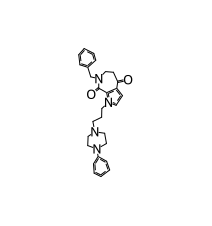 O=C1CCN(Cc2ccccc2)C(=O)c2c1ccn2CCCN1CCN(c2ccccc2)CC1